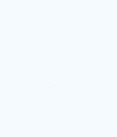 CCCCCCCCCCCCc1nc(Cl)nc(Cl)n1